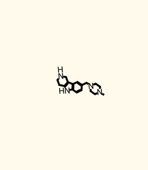 CN1CCN(Cc2ccc3[nH]c4c(c3c2)CNCC4)CC1